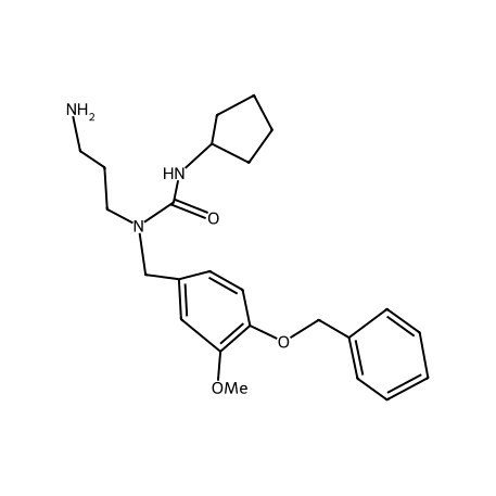 COc1cc(CN(CCCN)C(=O)NC2CCCC2)ccc1OCc1ccccc1